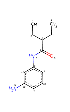 CCC(CC)C(=O)Nc1cccc(N)c1